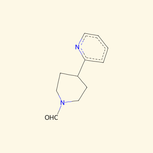 O=CN1CCC(c2ccccn2)CC1